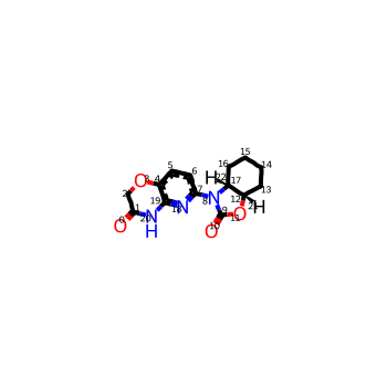 O=C1COc2ccc(N3C(=O)O[C@H]4CCCC[C@H]43)nc2N1